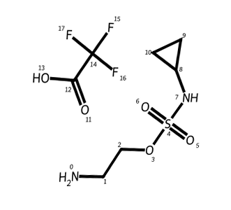 NCCOS(=O)(=O)NC1CC1.O=C(O)C(F)(F)F